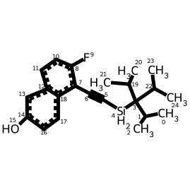 CC(C)C([SiH2]C#Cc1c(F)ccc2cc(O)ccc12)(C(C)C)C(C)C